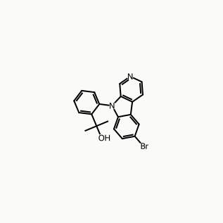 CC(C)(O)c1ccccc1-n1c2ccc(Br)cc2c2ccncc21